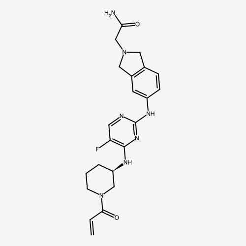 C=CC(=O)N1CCC[C@@H](Nc2nc(Nc3ccc4c(c3)CN(CC(N)=O)C4)ncc2F)C1